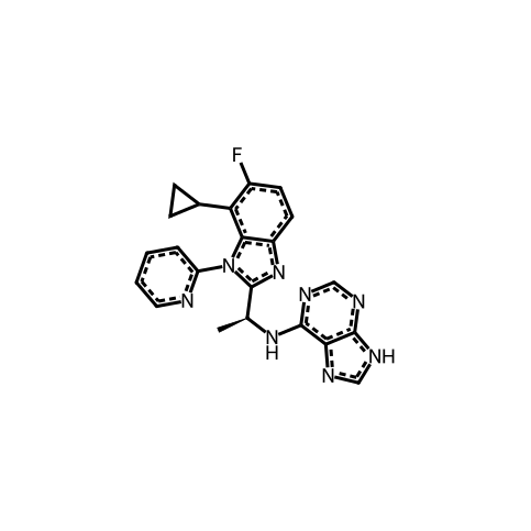 C[C@H](Nc1ncnc2[nH]cnc12)c1nc2ccc(F)c(C3CC3)c2n1-c1ccccn1